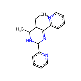 CCC1C(c2ccccn2)=NC(c2ccccn2)NC1C